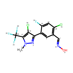 Cn1nc(-c2cc(C=NO)c(Cl)cc2F)c(Cl)c1C(F)(F)F